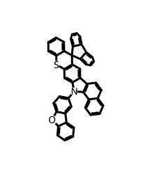 c1ccc2c(c1)Sc1cc3c(cc1C21c2ccccc2-c2ccccc21)c1ccc2ccccc2c1n3-c1ccc2oc3ccccc3c2c1